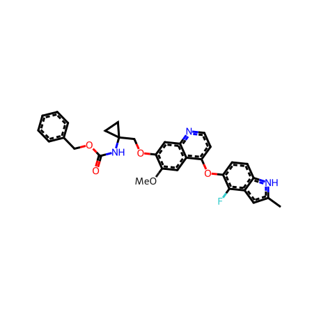 COc1cc2c(Oc3ccc4[nH]c(C)cc4c3F)ccnc2cc1OCC1(NC(=O)OCc2ccccc2)CC1